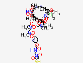 COc1cc2cc(c1Cl)N(C)C(=O)C[C@H](OC(=O)[C@H](C)N(C)C(=O)CCOC(=O)N(C)CCN(C)C(=O)OC1/C=C/CC(OCC(=O)NCCN3C(=O)CC(S)C3=O)CCC1)[C@]1(C)O[C@H]1[C@H](C)[C@@H]1C[C@@](O)(NC(=O)O1)[C@H](OC)/C=C/C=C(\C)C2